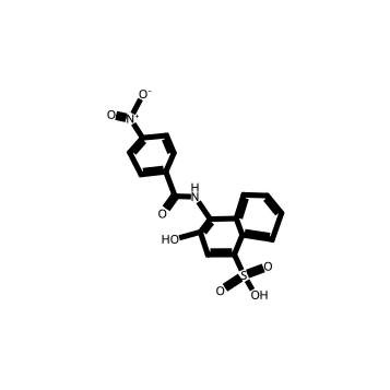 O=C(Nc1c(O)cc(S(=O)(=O)O)c2ccccc12)c1ccc([N+](=O)[O-])cc1